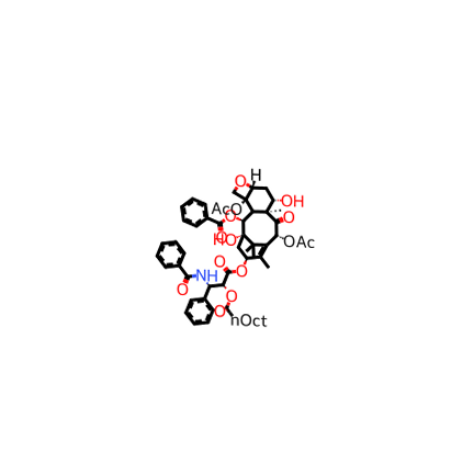 CCCCCCCCC(=O)O[C@@H](C(=O)O[C@H]1C[C@@]2(O)[C@@H](OC(=O)c3ccccc3)C3[C@](C)(C(=O)[C@H](OC(C)=O)C(=C1C)C2(C)C)[C@@H](O)C[C@H]1OC[C@@]31OC(C)=O)[C@@H](NC(=O)c1ccccc1)c1ccccc1